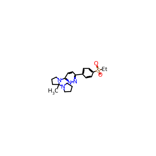 CCS(=O)(=O)c1ccc(-c2ccc(N3CCCC3(C)N3CCCC3)nn2)cc1